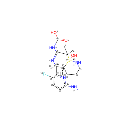 CC1(C)C(NC(=O)O)=N[C@](C)(c2nc(N)ccc2F)[C@H]2CCCNS21O